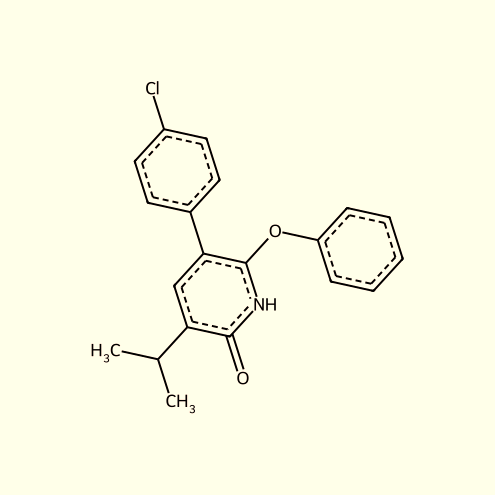 CC(C)c1cc(-c2ccc(Cl)cc2)c(Oc2ccccc2)[nH]c1=O